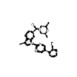 Cc1cn(-c2ncc(-c3ccccc3F)cn2)c2cc(C(=O)N3CC(C)OC(C)C3)ccc12